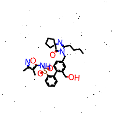 CCCCC1=NC2(CCCC2)C(=O)N1Cc1ccc(-c2ccccc2S(=O)(=O)Nc2onc(C)c2C)c(CO)c1